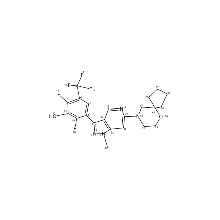 Cn1nc(-c2cc(C(F)(F)F)c(F)c(O)c2F)c2cnc(N3CCOC4(CCCC4)C3)cc21